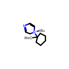 COC1([N+]2(C(C)(C)C)C=CN=CC2)CCCCC1